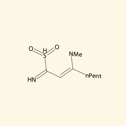 CCCCC/C(=C/C(=N)[SH](=O)=O)NC